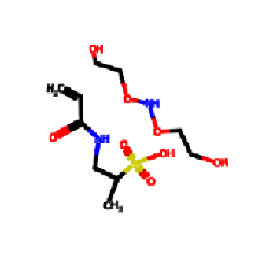 C=CC(=O)NCC(C)S(=O)(=O)O.OCCONOCCO